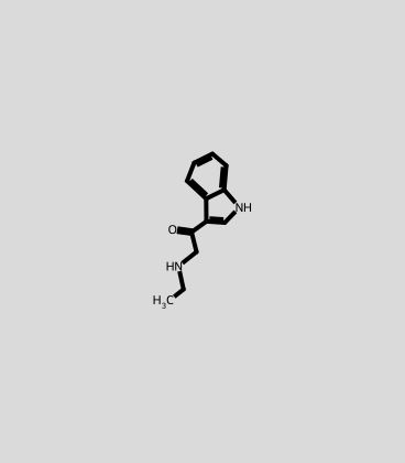 CCNCC(=O)c1c[nH]c2ccccc12